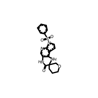 O=C1Nc2cnc3c(ccn3S(=O)(=O)c3ccccc3)c2NC12CCCOC2